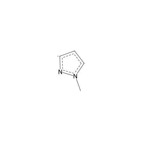 Cn1cc[c]n1